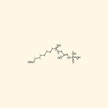 CCCCCCCCCCCCCCCCC[C@@H](O)OCC(O)COP(=O)(O)O